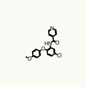 COc1ccc(Oc2ccc(Cl)cc2NC(=O)c2ccncc2)cc1